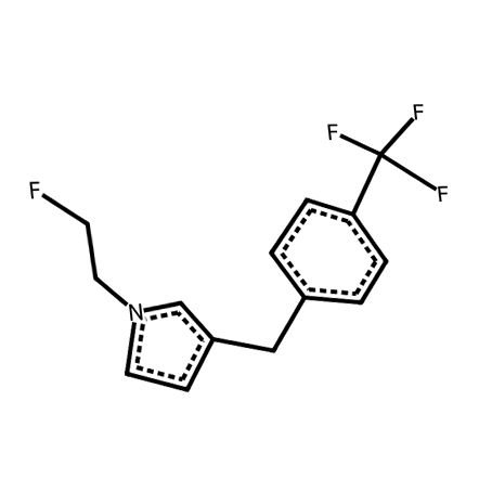 FCCn1ccc(Cc2ccc(C(F)(F)F)cc2)c1